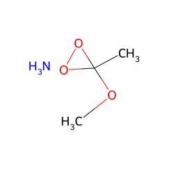 COC1(C)OO1.N